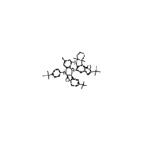 Cc1cc2c3c(c1)N1c4c(cc5cc(C(C)(C)C)oc5c4C4(C)CCCCC14C)B3c1c(oc3ccc(C(C)(C)C)cc13)N2c1ccc(C(C)(C)C)cc1